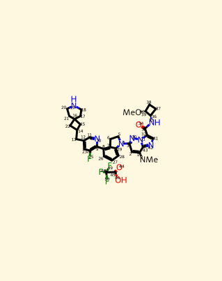 CNc1cc(N2CCc3c(-c4ncc(CC5CC6(CCNCC6)C5)cc4F)cccc32)nn2c(C(=O)N[C@@H]3CC[C@H]3OC)cnc12.O=C(O)C(F)(F)F